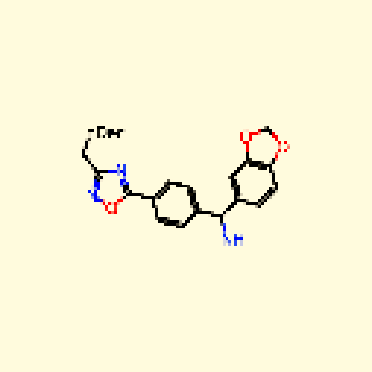 CCCCCCCCCCCc1noc(-c2ccc(C([NH])c3ccc4c(c3)OCO4)cc2)n1